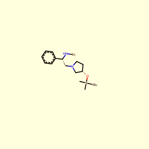 CCN[C@H](CN1CC[C@H](O[Si](C)(C)C(C)(C)C)C1)c1ccccc1